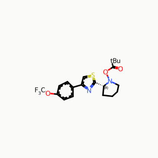 CC(C)(C)C(=O)ON1CCCC[C@@H]1c1nc(-c2ccc(OC(F)(F)F)cc2)cs1